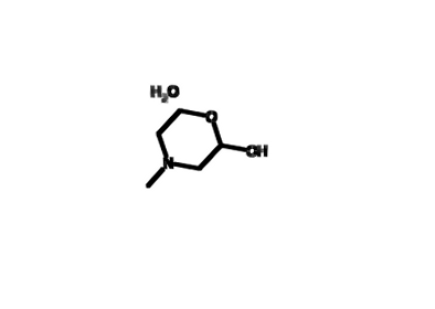 CN1CCOC(O)C1.O